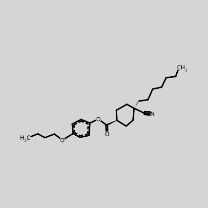 CCCCCCC[C@]1(C#N)CC[C@@H](C(=O)Oc2ccc(OCCCC)cc2)CC1